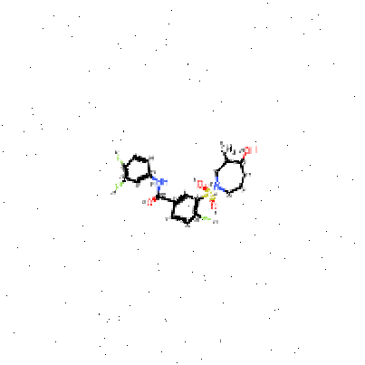 CC1CN(S(=O)(=O)c2cc(C(=O)Nc3ccc(F)c(F)c3)ccc2F)CCCC1O